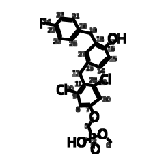 COP(=O)(O)COc1cc(Cl)c(Cc2ccc(O)c(Cc3ccc(F)cc3)c2)c(Cl)c1